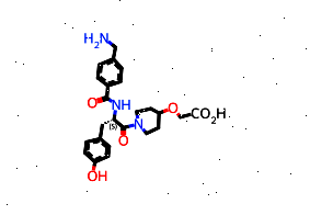 NCc1ccc(C(=O)N[C@@H](Cc2ccc(O)cc2)C(=O)N2CCC(OCC(=O)O)CC2)cc1